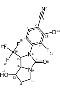 N#Cc1ccc(N2C(=O)N3CCC(O)C3C2C(F)(F)F)c(F)c1Cl